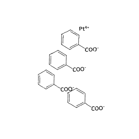 O=C([O-])c1ccccc1.O=C([O-])c1ccccc1.O=C([O-])c1ccccc1.O=C([O-])c1ccccc1.[Pt+4]